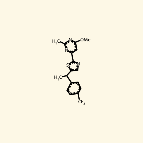 COc1cc(-c2ncc(C(C)c3ccc(C(F)(F)F)cc3)s2)nc(C)n1